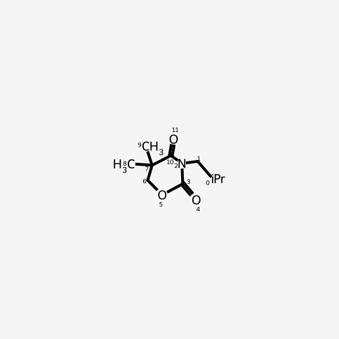 CC(C)CN1C(=O)OCC(C)(C)C1=O